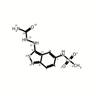 CS(=O)(=O)Nc1ccc2nsc(NNC(N)=O)c2c1